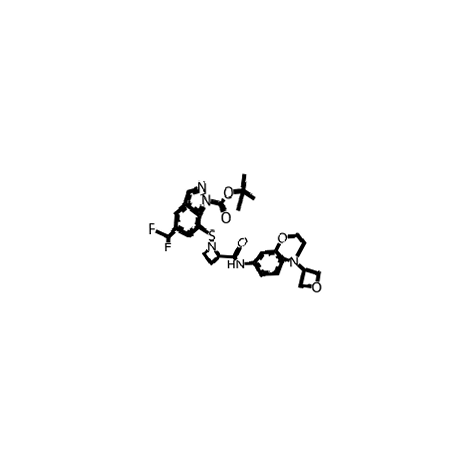 CC(C)(C)OC(=O)n1ncc2cc(C(F)F)cc(SN3CCC3C(=O)Nc3ccc4c(c3)OCCN4C3COC3)c21